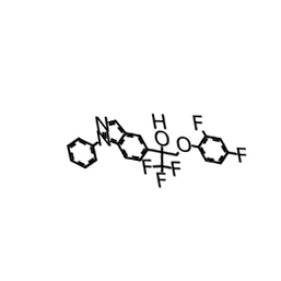 OC(COc1ccc(F)cc1F)(c1ccc2c(cnn2-c2ccccc2)c1)C(F)(F)F